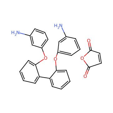 Nc1cccc(Oc2ccccc2-c2ccccc2Oc2cccc(N)c2)c1.O=C1C=CC(=O)O1